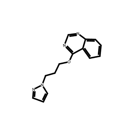 c1ccc2c(OCCCn3cccn3)ncnc2c1